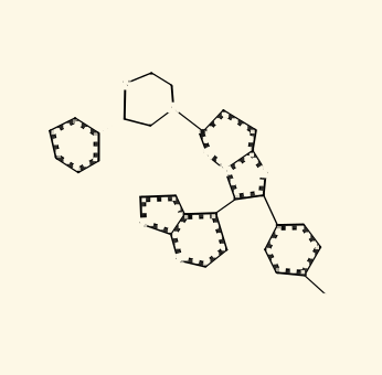 Fc1ccc(-c2nc3ccc(N4CCN[C@@H](c5ccccc5)C4)nn3c2-c2ccnc3[nH]ccc23)cc1